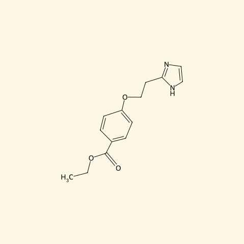 CCOC(=O)c1ccc(OCCc2ncc[nH]2)cc1